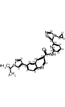 CC(C)n1cc(-c2ccc3ncc(C(=O)Nc4cccc(-c5nncn5C5CC5)n4)cc3c2)cn1